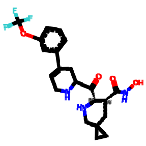 O=C(NO)[C@H]1CC2(CC2)CN[C@@H]1C(=O)C1CC(c2cccc(OC(F)(F)F)c2)=CCN1